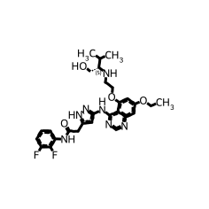 CCOc1cc(OCCN[C@H](CO)C(C)C)c2c(Nc3cc(CC(=O)Nc4cccc(F)c4F)[nH]n3)ncnc2c1